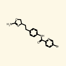 NC1=NC(CCc2ccc(NC(=O)c3ccc(Br)cn3)cc2)CO1